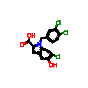 O=C(O)c1cc2cc(O)c(Cl)cc2n1Cc1ccc(Cl)c(Cl)c1